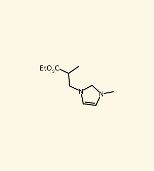 CCOC(=O)C(C)CN1C=CN(C)C1